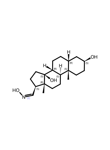 C[C@]12CC[C@H](O)C[C@H]1CC[C@@H]1[C@@H]2CC[C@]2(C)[C@@H](/C=N\O)CC[C@]12O